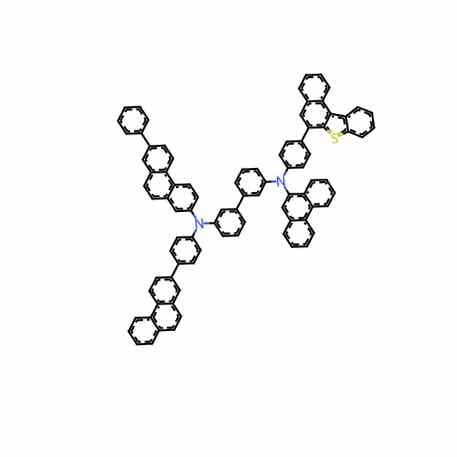 c1ccc(-c2ccc3c(ccc4cc(N(c5ccc(-c6ccc7c(ccc8ccccc87)c6)cc5)c5cccc(-c6cccc(N(c7ccc(-c8cc9ccccc9c9c8sc8ccccc89)cc7)c7cc8ccccc8c8ccccc78)c6)c5)ccc43)c2)cc1